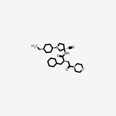 CC[C@H]1CC[C@@H](N2CC[C@@](C#N)(NC(=O)[C@@H](CC(=O)N3CCOCC3)CC3CCCCC3)C2)CC1